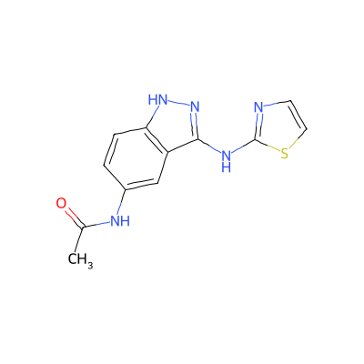 CC(=O)Nc1ccc2[nH]nc(Nc3nccs3)c2c1